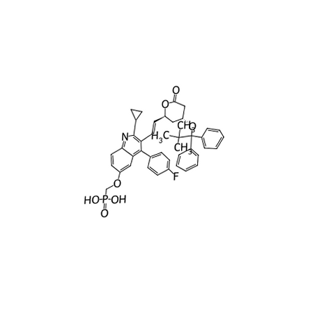 CC(C)(C)C(O[C@H]1CC(=O)O[C@H](/C=C/c2c(C3CC3)nc3ccc(OCP(=O)(O)O)cc3c2-c2ccc(F)cc2)C1)(c1ccccc1)c1ccccc1